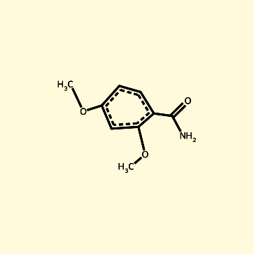 COc1ccc(C(N)=O)c(OC)c1